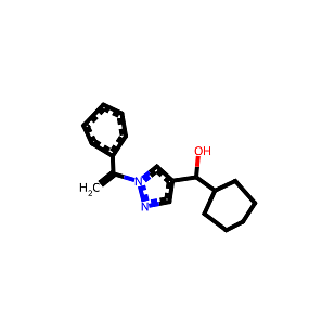 C=C(c1ccccc1)n1cc(C(O)C2CCCCC2)cn1